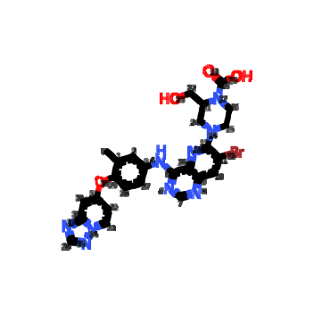 Cc1cc(Nc2ncnc3cc(Br)c(N4CCN(C(=O)O)C(CO)C4)nc23)ccc1Oc1ccn2ncnc2c1